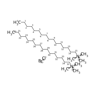 CCCCCCCCCCCCCCCC[N+](C)(C)C.CCCCCCCCCCCCCCCC[N+](C)(C)C.[Br-].[Cl-]